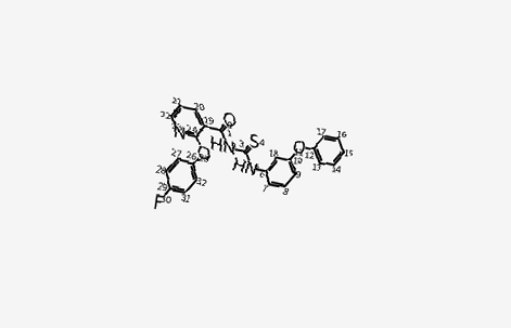 O=C(NC(=S)Nc1cccc(Oc2ccccc2)c1)c1cccnc1Oc1ccc(F)cc1